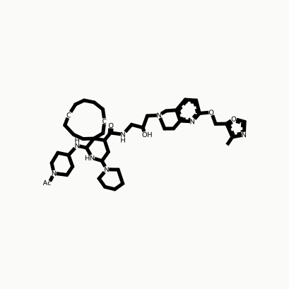 CC(=O)N1CCC(NC2NC(N3CCCCC3)CC(C(=O)NCC(O)CN3CCc4nc(OCc5ocnc5C)ccc4C3)C23CCCCCCCCCC3)CC1